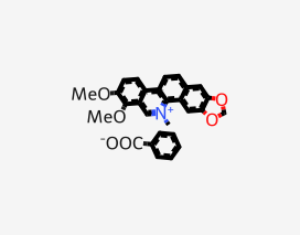 COc1ccc2c(c[n+](C)c3c4cc5c(cc4ccc23)OCO5)c1OC.O=C([O-])c1ccccc1